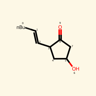 CCCCC=CC1CC(O)CC1=O